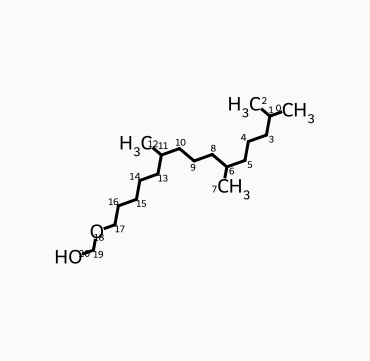 CC(C)CCCC(C)CCCC(C)CCCCCOCO